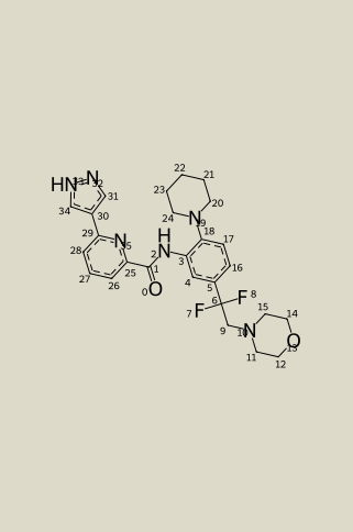 O=C(Nc1cc(C(F)(F)CN2CCOCC2)ccc1N1CCCCC1)c1cccc(-c2cn[nH]c2)n1